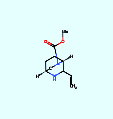 C=CC1N[C@H]2CC[C@@H]1N(C(=O)OC(C)(C)C)C2